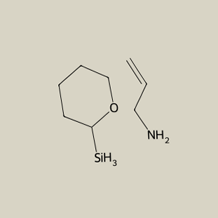 C=CCN.[SiH3]C1CCCCO1